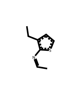 C/C=N\c1sccc1CC